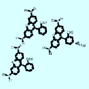 CCN(CC)c1ccc2c(-c3ccccc3C(=O)[O-])c3ccc(N(CC)CC)cc3[o+]c2c1.CCN(CC)c1ccc2c(-c3ccccc3C(=O)[O-])c3ccc(N(CC)CC)cc3[o+]c2c1.CCN(CC)c1ccc2c(-c3ccccc3C(=O)[O-])c3ccc(N(CC)CC)cc3[o+]c2c1.[Al+3].[Cl-].[Cl-].[Cl-]